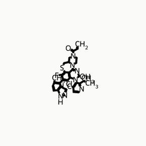 C=CC(=O)N1CCN2C3=NC(O)N(c4c(C)ccnc4C(C)C)c4c(Cl)c(-c5c(C)ccc6[nH]ncc56)c(F)c(c43)SCC2C1